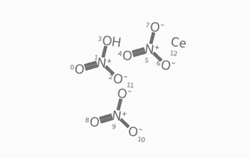 O=[N+]([O-])O.O=[N+]([O-])[O-].O=[N+]([O-])[O-].[Ce]